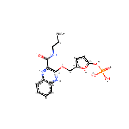 CC(=O)NCCNC(=O)c1nc2ccccc2nc1OCc1ccc(OP(=O)(O)O)o1